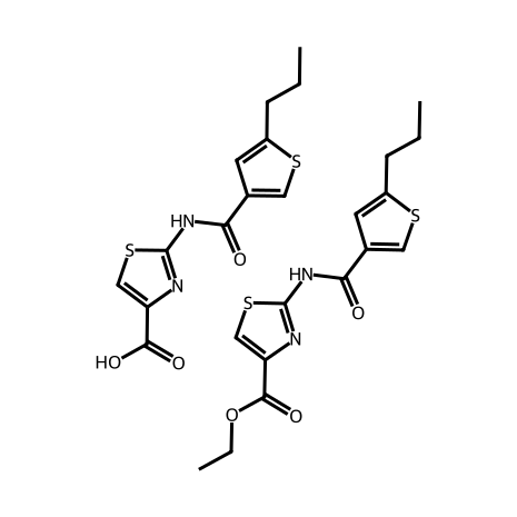 CCCc1cc(C(=O)Nc2nc(C(=O)O)cs2)cs1.CCCc1cc(C(=O)Nc2nc(C(=O)OCC)cs2)cs1